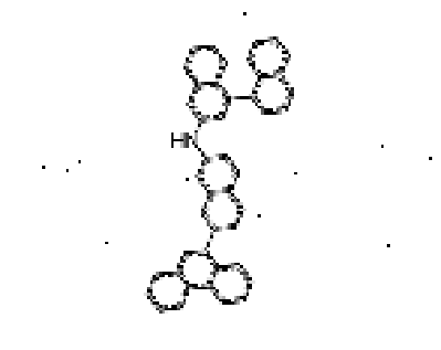 c1ccc2c(-c3cc(Nc4ccc5ccc(-c6cc7ccccc7c7ccccc67)cc5c4)cc4ccccc34)cccc2c1